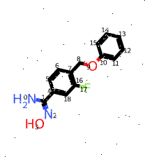 N/C(=N\O)c1ccc(COc2ccccc2)c(F)c1